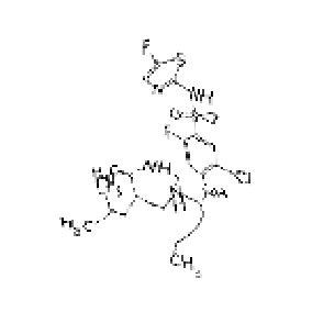 CCCC(NCC(CC(C)C)[C@@H](C)N)Nc1cc(F)c(S(=O)(=O)Nc2ncc(F)s2)cc1Cl